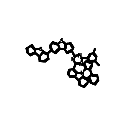 Cc1cc(C)cc(-c2nc(-c3ccc4sc5ccc(-c6cccc7c6sc6ccccc67)cc5c4c3)nc(-c3cccc4c5ccccc5n(-c5ccccc5-c5ccccc5)c34)n2)c1